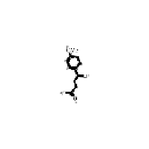 COc1ccc(C(=O)CCC(=O)F)cc1